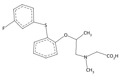 CC(CN(C)CC(=O)O)Oc1ccccc1Sc1cccc(F)c1